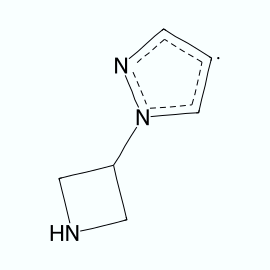 [c]1cnn(C2CNC2)c1